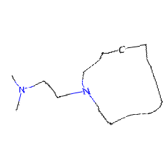 CN(C)CCN1CCCCCCCCC1